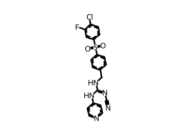 N#CN=C(NCc1ccc(S(=O)(=O)c2ccc(Cl)c(F)c2)cc1)Nc1ccncc1